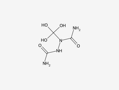 NC(=O)NN(C(N)=O)C(O)(O)O